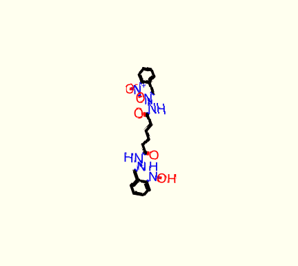 O=C(CCCCC(=O)N/N=C/c1ccccc1[N+](=O)[O-])N/N=C/c1ccccc1NO